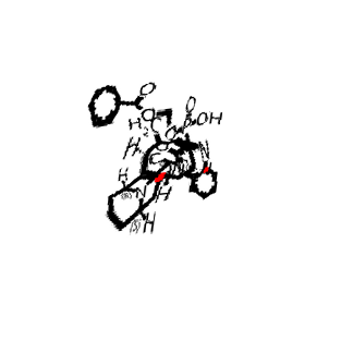 C=C1C#C[C@H]2CCC[C@@H]1C[C@@H](N1[C@@H]3CCC[C@H]1C[C@@H](n1c(=O)c(P(=O)(O)OCOC(=O)c4ccccc4)nc4ccccc41)C3)C2